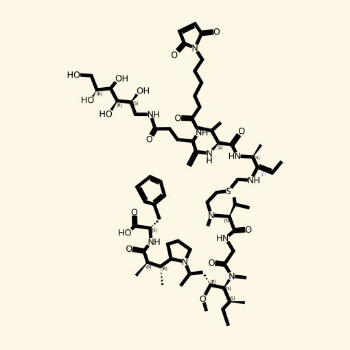 C=C(N[C@H](C(=O)N[C@@H](C)/C(=C\C)NCSCCN(C)[C@H](C(=O)NCC(=O)N(C)[C@@H]([C@@H](C)CC)[C@@H](CC(C)N1CCCC1[C@H](C)[C@@H](C)C(=O)N[C@@H](Cc1ccccc1)C(=O)O)OC)C(C)C)C(C)C)C(CCC(=O)NC[C@H](O)[C@@H](O)C(O)[C@H](O)CO)NC(=O)CCCCCN1C(=O)C=CC1=O